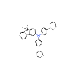 C[Si]1(C)c2ccccc2-c2cc(N(c3ccc(-c4ccccc4)cc3)c3ccc(-c4ccccc4)cc3)ccc21